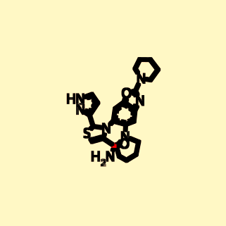 NC(=O)C1=CSC(c2cc[nH]n2)N1c1cc2oc(N3CCCCC3)nc2cc1N1CCCCC1